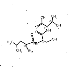 CC(C)C[C@H](N)C(=O)N[C@@H](CO)C(=O)N[C@H](C(=O)O)[C@@H](C)O